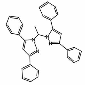 CC(n1nc(-c2ccccc2)cc1-c1ccccc1)n1nc(-c2ccccc2)cc1-c1ccccc1